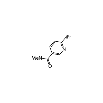 CNC(=O)c1ccc(C(C)C)nc1